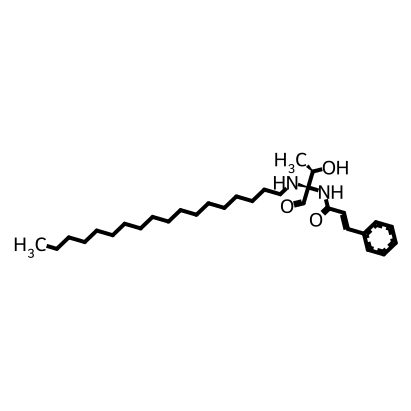 CCCCCCCCCCCCCCCCCCN[C@](C=O)(NC(=O)C=Cc1ccccc1)[C@@H](C)O